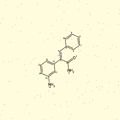 NC(=O)/C(=C\c1ccccc1)c1cccc(N)c1